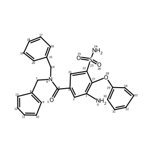 Nc1cc(C(=O)N(Cc2ccccc2)Cc2ccccc2)cc(S(N)(=O)=O)c1Oc1ccccc1